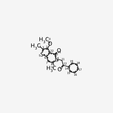 COc1c(C)sc2cc(C)n(CC(=O)c3ccccc3)c(=O)c12